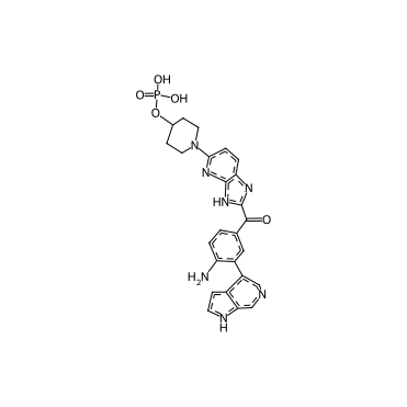 Nc1ccc(C(=O)c2nc3ccc(N4CCC(OP(=O)(O)O)CC4)nc3[nH]2)cc1-c1cncc2[nH]ccc12